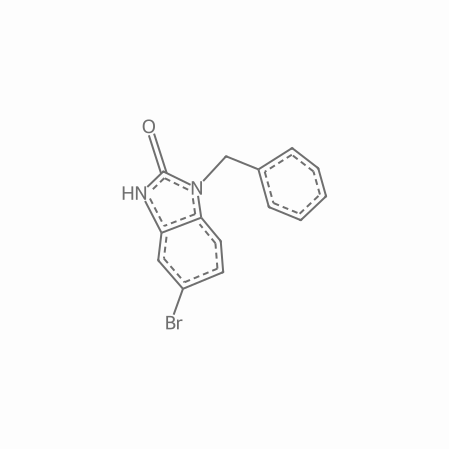 O=c1[nH]c2cc(Br)ccc2n1Cc1ccccc1